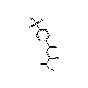 COC(=O)/C(O)=C/C(=O)c1ccc(S(C)(=O)=O)cc1